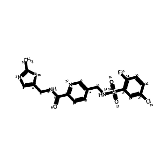 Cc1ncc(CNC(=O)c2ccc(CNS(=O)(=O)c3cc(Cl)ccc3F)cn2)s1